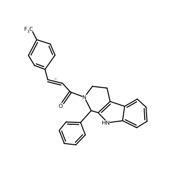 O=C(/C=C/c1ccc(C(F)(F)F)cc1)N1CCc2c([nH]c3ccccc23)C1c1ccccc1